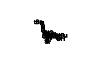 CC(C)(C)OCOCCOc1ccc(-c2nc(-c3ccccc3)nc(-c3ccc(CC(OO)C(C)(C)C)cc3O)n2)c(O)c1